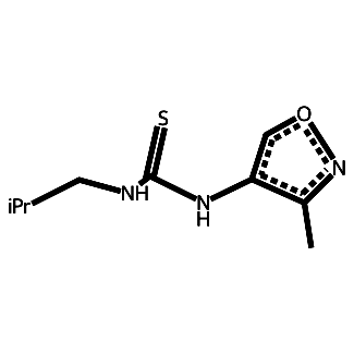 Cc1nocc1NC(=S)NCC(C)C